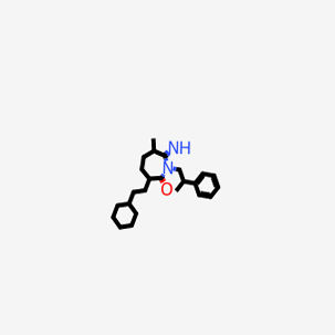 CC1CCC(CCC2CCCCC2)C(=O)N(CC(C)c2ccccc2)C1=N